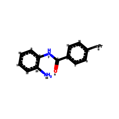 C[CH]Cc1ccc(C(=O)Nc2ccccc2N)cc1